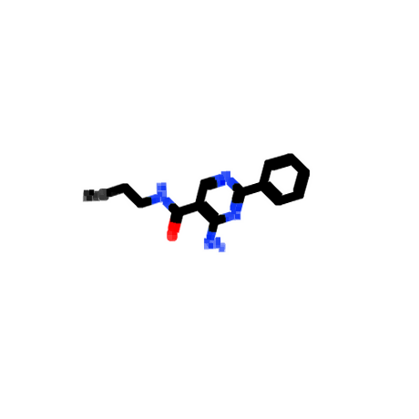 COCCNC(=O)c1cnc(-c2ccccc2)nc1N